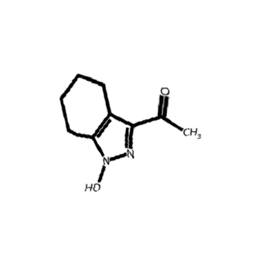 CC(=O)c1nn(O)c2c1CCCC2